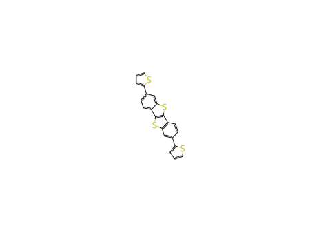 c1csc(-c2ccc3c(c2)sc2c4ccc(-c5cccs5)cc4sc32)c1